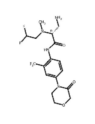 CN(CC(F)F)[C@H](CN)C(=O)Nc1ccc(N2CCOCC2=O)cc1C(F)(F)F